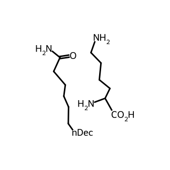 CCCCCCCCCCCCCCCC(N)=O.NCCCCC(N)C(=O)O